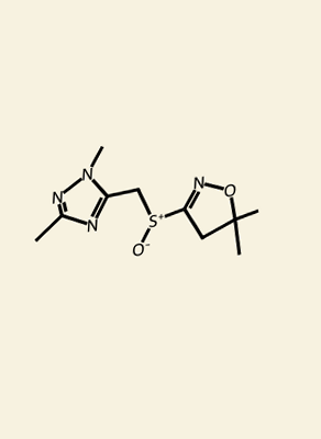 Cc1nc(C[S+]([O-])C2=NOC(C)(C)C2)n(C)n1